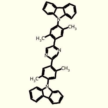 Cc1cc(-n2c3ccccc3c3ccccc32)c(C)cc1-c1cnc(-c2cc(C)c(-n3c4ccccc4c4ccccc43)cc2C)cn1